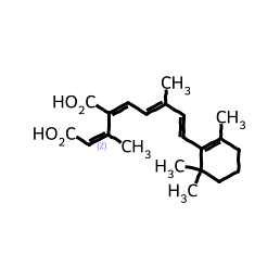 CC(C=CC1=C(C)CCCC1(C)C)=CC=C(C(=O)O)/C(C)=C\C(=O)O